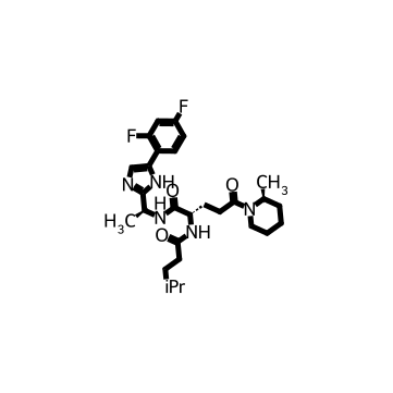 CC(C)CCC(=O)N[C@@H](CCC(=O)N1CCCC[C@@H]1C)C(=O)N[C@@H](C)c1ncc(-c2ccc(F)cc2F)[nH]1